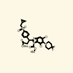 COC(=O)CC(c1ccc(S(=O)(=O)CC2CC2)cc1)c1nc2cc(Cl)c(N3CCC(F)(F)CC3)c(Cl)c2n1C(=O)OC(C)(C)C